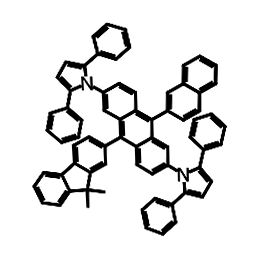 CC1(C)c2ccccc2-c2ccc(-c3c4ccc(-n5c(-c6ccccc6)ccc5-c5ccccc5)cc4c(-c4ccc5ccccc5c4)c4ccc(-n5c(-c6ccccc6)ccc5-c5ccccc5)cc34)cc21